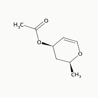 CC(=O)O[C@H]1C=CO[C@@H](C)C1